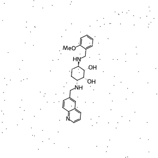 COc1ccccc1CN[C@@H]1CC[C@@H](NCc2ccc3ncccc3c2)[C@@H](O)[C@H]1O